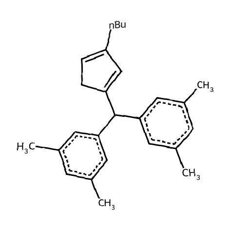 CCCCC1=CCC(C(c2cc(C)cc(C)c2)c2cc(C)cc(C)c2)=C1